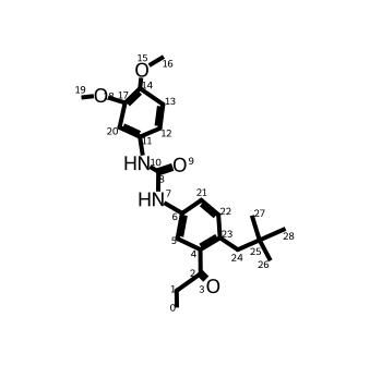 CCC(=O)c1cc(NC(=O)Nc2ccc(OC)c(OC)c2)ccc1CC(C)(C)C